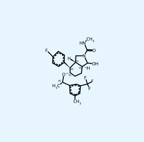 CNC(=O)N1C[C@H]2[C@H](c3ccc(F)cc3)[C@@H](O[C@H](C)c3cc(C)cc(C(F)(F)F)c3)CC[C@@H]2C1O